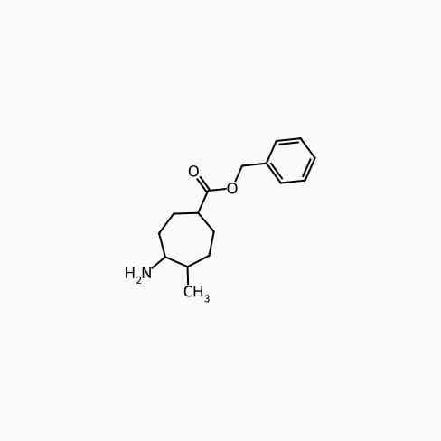 CC1CCC(C(=O)OCc2ccccc2)CCC1N